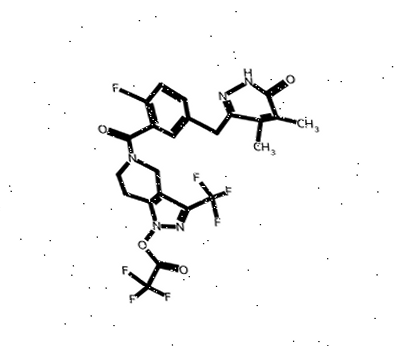 Cc1c(Cc2ccc(F)c(C(=O)N3CCc4c(c(C(F)(F)F)nn4OC(=O)C(F)(F)F)C3)c2)n[nH]c(=O)c1C